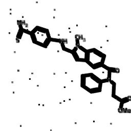 COC(=O)CCN(C(=O)c1ccc2c(c1)cc(CNc1ccc(C(N)=S)cc1)n2C)c1ccccc1